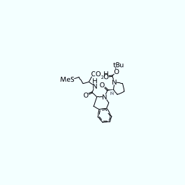 CSCCC(NC(=O)C1Cc2ccccc2CN1C(=O)[C@@H]1CCCN1C(=O)OC(C)(C)C)C(=O)O